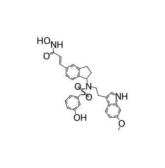 COc1ccc2c(CCN(C3CCc4cc(C=CC(=O)NO)ccc43)S(=O)(=O)c3cccc(O)c3)c[nH]c2c1